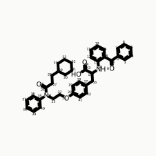 O=C(c1ccccc1)c1ccccc1NC(Cc1ccc(OCCN(C(=O)CCC2CCCCC2)c2ccccc2)cc1)C(=O)O